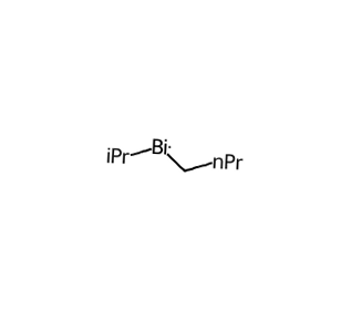 CCC[CH2][Bi][CH](C)C